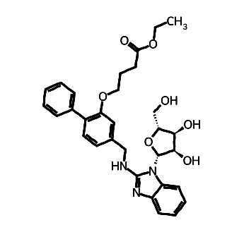 CCOC(=O)CCCOc1cc(CNc2nc3ccccc3n2[C@@H]2O[C@H](CO)[C@@H](O)[C@H]2O)ccc1-c1ccccc1